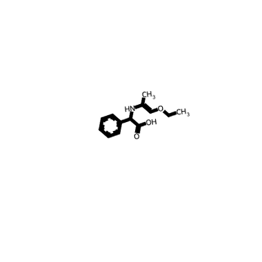 CCOC=C(C)NC(C(=O)O)c1ccccc1